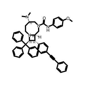 COc1ccc(NC(=O)N2C[C@@H](N(C)C)CCN3[C@H](C(c4ccccc4)(c4ccccc4)c4ccccc4)[C@@H](c4ccc(C#Cc5ccccc5)cc4)[C@@H]3C2)cc1